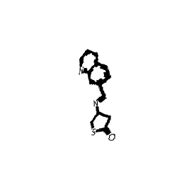 O=C1CC(N=Cc2ccc3cccnc3c2)CS1